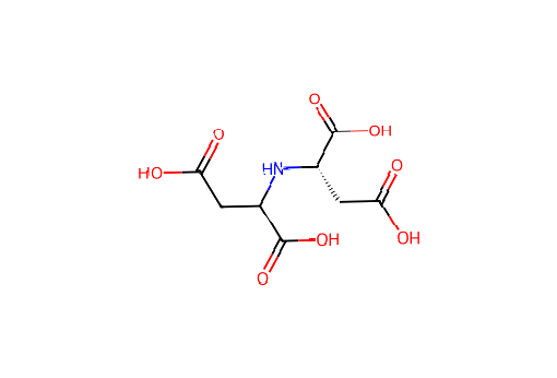 O=C(O)CC(N[C@@H](CC(=O)O)C(=O)O)C(=O)O